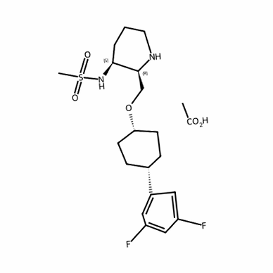 CC(=O)O.CS(=O)(=O)N[C@H]1CCCN[C@H]1CO[C@H]1CC[C@@H](c2cc(F)cc(F)c2)CC1